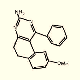 COc1ccc2c(c1)-c1c(nc(N)nc1-c1ccccc1)CC2